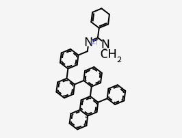 C=N/C(=N\Cc1cccc(-c2ccccc2-c2ccccc2-c2cc3ccccc3cc2-c2ccccc2)c1)C1=CCCC=C1